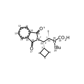 C[C@@H]([C@H](C1CCC1)N1C(=O)c2ccccc2C1=O)N(C(=O)O)C(C)(C)C